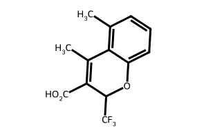 CC1=C(C(=O)O)C(C(F)(F)F)Oc2cccc(C)c21